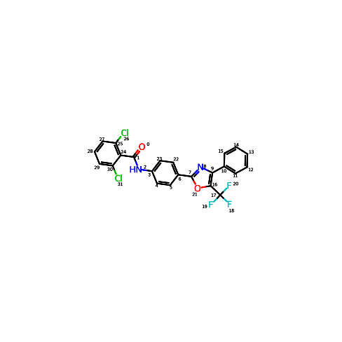 O=C(Nc1ccc(-c2nc(-c3ccccc3)c(C(F)(F)F)o2)cc1)c1c(Cl)cccc1Cl